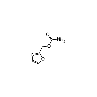 NC(=O)OCc1ncco1